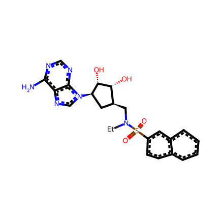 CCN(C[C@H]1C[C@@H](n2cnc3c(N)ncnc32)[C@H](O)[C@@H]1O)S(=O)(=O)c1ccc2ccccc2c1